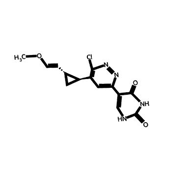 CO/C=C/[C@H]1C[C@@H]1c1cc(-c2c[nH]c(=O)[nH]c2=O)nnc1Cl